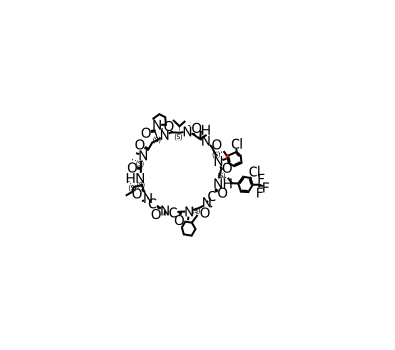 CC[C@H](C)[C@@H]1NC(=O)[C@H](C)N(C)C(=O)C[C@@H](C(=O)N2CCCC2)N(C)C(=O)[C@H](C(C)C)N(C)C(=O)C(C)(C)NC(=O)[C@H](Cc2ccccc2Cl)N(C)C(=O)[C@H](CCc2ccc(C(F)(F)F)c(Cl)c2)NC(=O)CN(C)C(=O)[C@H](CC2CCCCC2)N(C)C(=O)CN(C)C(=O)CN(C)C1=O